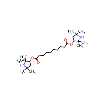 CC1(C)CC(OC(=O)CCCCCCCCC(=O)OC2CC(C)(C)NC2(C)C)C(C)(C)N1